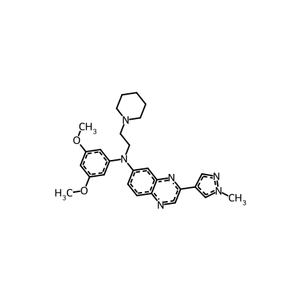 COc1cc(OC)cc(N(CCN2CCCCC2)c2ccc3ncc(-c4cnn(C)c4)nc3c2)c1